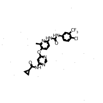 Cc1nc(NC(=O)Nc2ccc(Cl)c(C(F)(F)F)c2)ccc1Oc1cc(NC(=O)C2CC2)ncn1